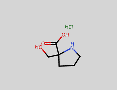 Cl.O=C(O)C1(CO)CCCN1